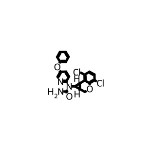 NC(=O)N(c1ccc(Oc2ccccc2)cn1)C1[C@H]2COc3c(Cl)ccc(Cl)c3[C@@H]12